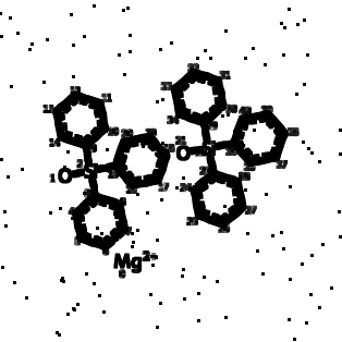 [Mg+2].[O-][Si](c1ccccc1)(c1ccccc1)c1ccccc1.[O-][Si](c1ccccc1)(c1ccccc1)c1ccccc1